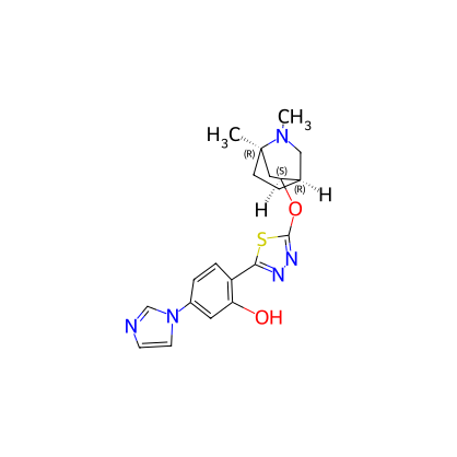 CN1C[C@H]2CC[C@]1(C)C[C@@H]2Oc1nnc(-c2ccc(-n3ccnc3)cc2O)s1